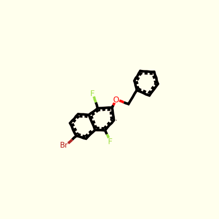 Fc1[c]c(OCc2ccccc2)c(F)c2ccc(Br)cc12